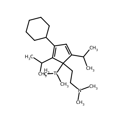 CC(C)C1=CC(C2CCCCC2)=C(C(C)C)[C]1(CCN(C)C)[Ti]([CH3])[CH3]